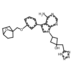 Nc1ncnc2c1c(-c1cccc(OCC34CCC(CC3)O4)c1)cn2C1CC(O)(Cc2nnn[nH]2)C1